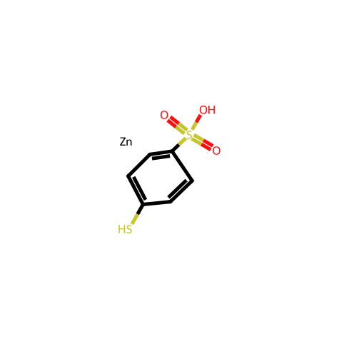 O=S(=O)(O)c1ccc(S)cc1.[Zn]